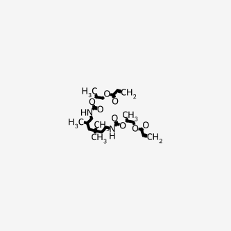 C=CC(=O)OCC(C)OC(=O)NCCC(C)(C)CC(C)CNC(=O)OC(C)COC(=O)C=C